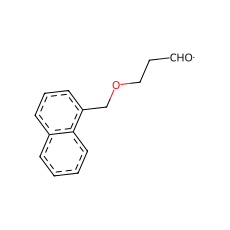 O=[C]CCOCc1cccc2ccccc12